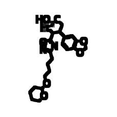 CCC(c1nc(CCCCOC2CCCCO2)no1)C(CC(=O)O)c1ccc2c(c1)OCO2